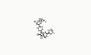 CC(C)(C)OC(=O)N1CCC(n2c(=O)[nH]c3ncc(N4CCOCC4)cc32)CC1